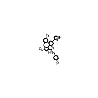 COc1ccc(CNc2nc3cc(-c4cc[nH]n4)ccc3c3c2cc(C=O)n3Cc2ccc(OC)cc2)cc1